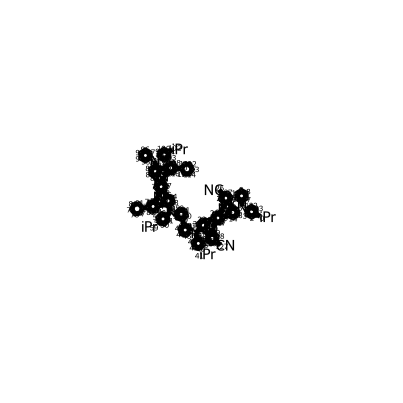 CC(C)c1ccc(N(c2ccccc2)c2ccc3c4cc5c(cc4n4c6cc(C#N)ccc6c2c34)c2ccc(N(c3ccc(C(C)C)cc3)c3cccc(-c4cccc(N(c6ccc(C(C)C)cc6)c6ccc7c8cc9c(cc8n8c%10cc(C%11CCCCC%11)ccc%10c6c78)c6ccc(N(c7ccccc7)c7ccc(C(C)C)cc7)c7c8ccc(C%10CCCCC%10)cc8n9c67)c4)c3)c3c4ccc(C#N)cc4n5c23)cc1